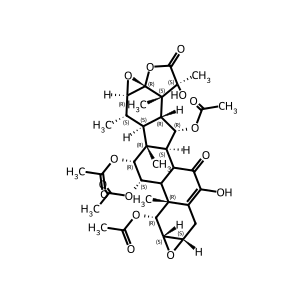 CC(=O)O[C@H]1[C@@H]2[C@H]([C@H](C)[C@H]3O[C@]34OC(=O)[C@@](C)(O)[C@]24C)[C@]2(C)[C@@H]1C1C(=O)C(O)=C3C[C@@H]4O[C@@H]4[C@H](OC(C)=O)[C@]3(C)C1[C@H](OC(C)=O)[C@@H]2OC(C)=O